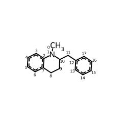 CN1c2ccccc2CCC1Cc1ccccc1